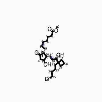 COC(=O)CCC/C=C\C[C@H]1C(=O)C[C@@H](O)[C@@H]1/C=C/[C@@H](O)C1(CCCCBr)CCC1